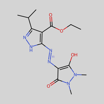 CCOC(=O)c1c(C(C)C)n[nH]c1/N=N/c1c(O)n(C)n(C)c1=O